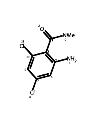 CNC(=O)c1c(N)cc(Cl)cc1Cl